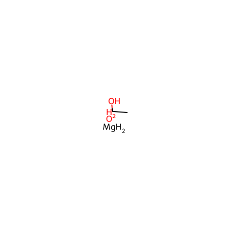 CCO.O.[MgH2]